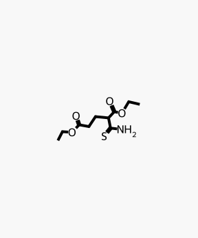 CCOC(=O)CCC(C(=O)OCC)C(N)=S